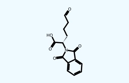 O=CCCC[C@@H](C(=O)O)N1C(=O)c2ccccc2C1=O